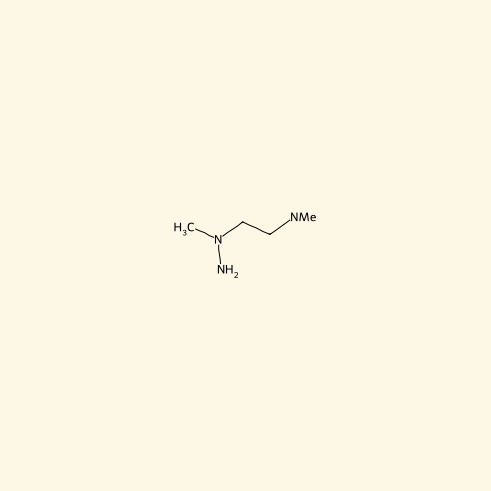 CNCCN(C)N